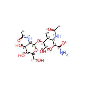 CC(=O)NC1C(C(N)=O)OC(O)C(OC2OC(CO)C(O)C(O)C2NC(C)=O)C1C